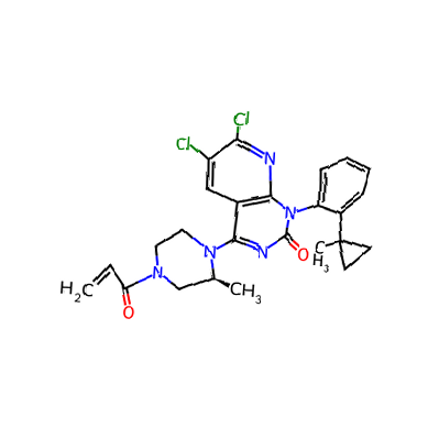 C=CC(=O)N1CCN(c2nc(=O)n(-c3ccccc3C3(C)CC3)c3nc(Cl)c(Cl)cc23)[C@@H](C)C1